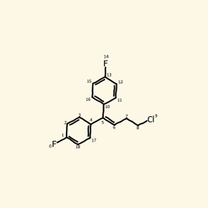 Fc1ccc(C(=CCCCl)c2ccc(F)cc2)cc1